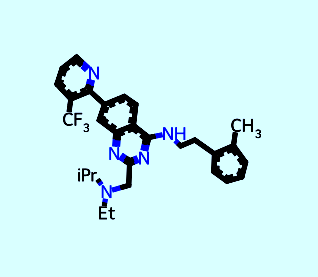 CCN(Cc1nc(NCCc2ccccc2C)c2ccc(-c3ncccc3C(F)(F)F)cc2n1)C(C)C